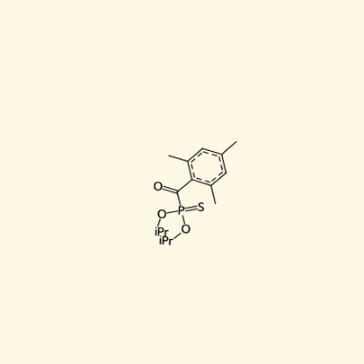 Cc1cc(C)c(C(=O)P(=S)(OC(C)C)OC(C)C)c(C)c1